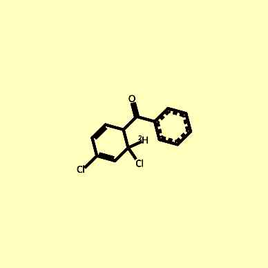 [2H]C1(Cl)C=C(Cl)C=CC1C(=O)c1ccccc1